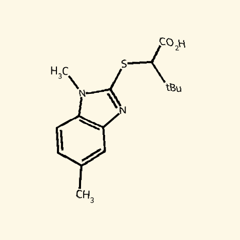 Cc1ccc2c(c1)nc(SC(C(=O)O)C(C)(C)C)n2C